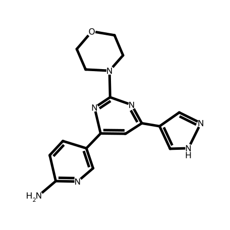 Nc1ccc(-c2cc(-c3cn[nH]c3)nc(N3CCOCC3)n2)cn1